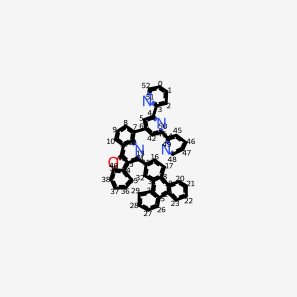 c1ccc(-c2cc(-c3cccc4c3nc(-c3ccc5c6ccccc6c6ccccc6c5c3)c3c5ccccc5oc43)cc(-c3ccccn3)n2)nc1